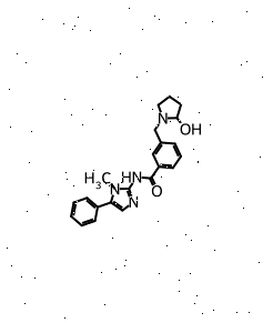 Cn1c(-c2ccccc2)cnc1NC(=O)c1cccc(CN2CCCC2O)c1